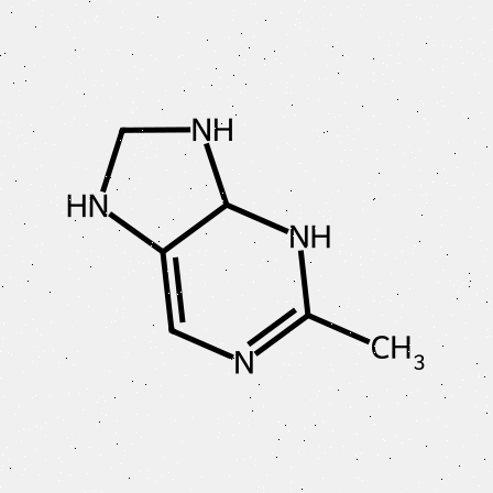 CC1=NC=C2NCNC2N1